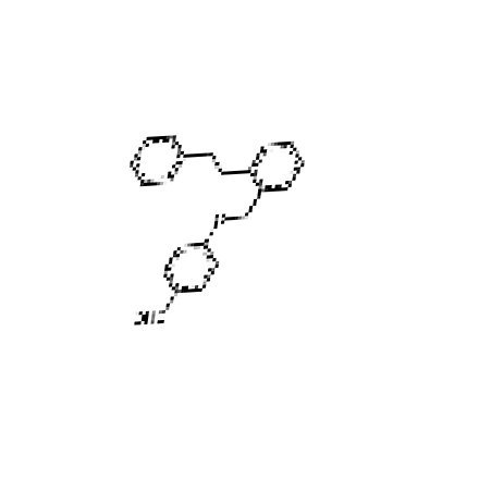 O=Cc1ccc(OCc2ccccc2CCc2ccccc2)cc1